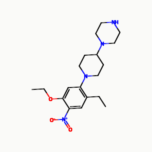 CCOc1cc(N2CCC(N3CCNCC3)CC2)c(CC)cc1[N+](=O)[O-]